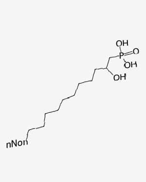 CCCCCCCCCCCCCCCCCCC(O)CP(=O)(O)O